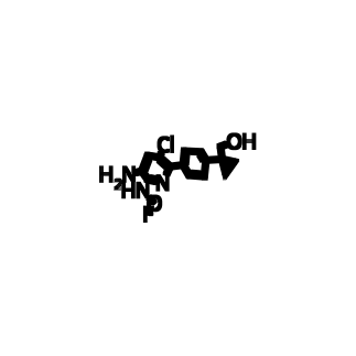 Nc1cc(Cl)c(-c2ccc(C3(CO)CC3)cc2)nc1NOF